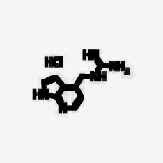 Cl.N=C(N)NCc1ccnc2[nH]ccc12